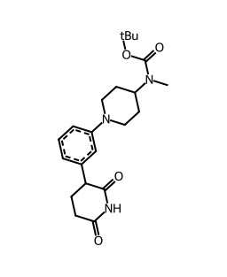 CN(C(=O)OC(C)(C)C)C1CCN(c2cccc(C3CCC(=O)NC3=O)c2)CC1